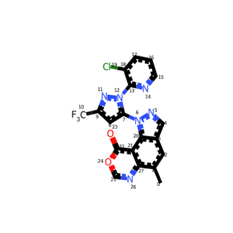 Cc1cc2cnn(-c3cc(C(F)(F)F)nn3-c3ncccc3Cl)c2c2c(=O)ocnc12